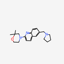 CC1(C)CN(c2ccc3cc(CN4CCCC4)ccc3n2)CCO1